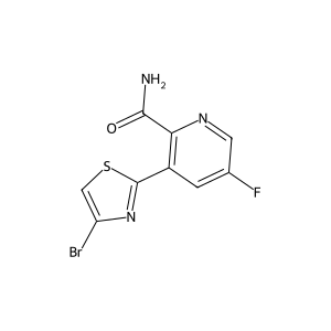 NC(=O)c1ncc(F)cc1-c1nc(Br)cs1